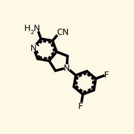 N#Cc1c(N)ncc2c1CN(c1cc(F)cc(F)c1)C2